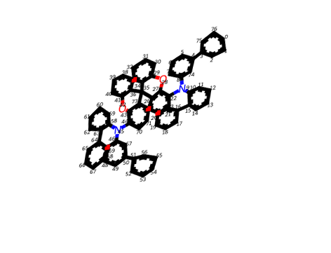 c1ccc(-c2cccc(N(c3ccccc3-c3ccccc3)c3cccc4c3Oc3ccccc3C43c4ccccc4Oc4c(N(c5cccc(-c6ccccc6)c5)c5ccccc5-c5ccccc5)cccc43)c2)cc1